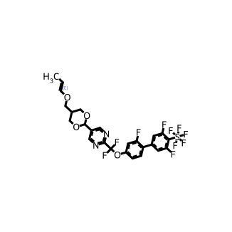 C/C=C/OCC1COC(c2cnc(C(F)(F)Oc3ccc(-c4cc(F)c(S(F)(F)(F)(F)F)c(F)c4)c(F)c3)nc2)OC1